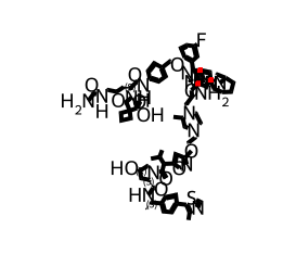 Cc1ncsc1-c1ccc([C@H](C)NC(=O)[C@@H]2C[C@@H](O)CN2C(=O)C(c2cc(OCCN3CCN(CCOc4cc(N5C6CCC5CN(c5cc(-c7cc(F)ccc7OCc7ccc(NC(=O)[C@H](CCCNC(N)=O)NC(=O)C8(C(=O)O)CCC8)cc7)nnc5N)C6)ccn4)C(C)C3)no2)C(C)C)cc1